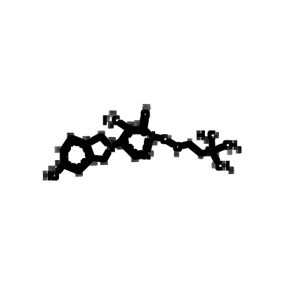 C[Si](C)(C)CCOCn1ncc(N2Cc3ccc(O)cc3C2)c(C(F)(F)F)c1=O